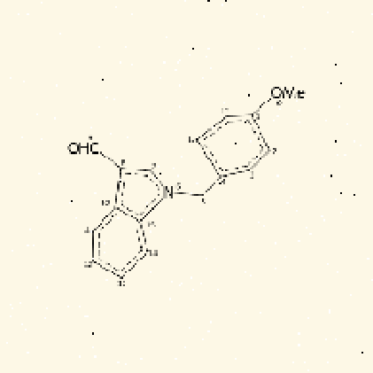 COc1ccc(Cn2cc(C=O)c3ccccc32)cc1